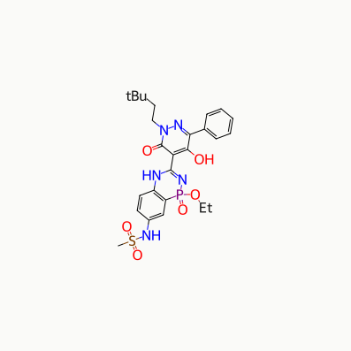 CCOP1(=O)N=C(c2c(O)c(-c3ccccc3)nn(CCC(C)(C)C)c2=O)Nc2ccc(NS(C)(=O)=O)cc21